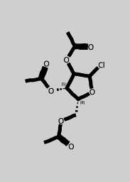 CC(=O)OC[C@H]1OC(Cl)C(OC(C)=O)[C@H]1OC(C)=O